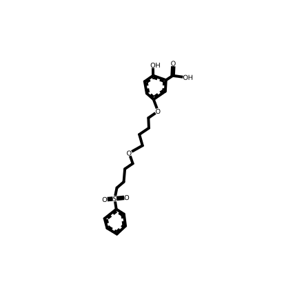 O=C(O)c1cc(OCCCCOCCCCS(=O)(=O)c2ccccc2)ccc1O